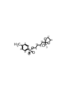 Cc1ccc(S(=O)(=O)OCCCCC2(C(F)(F)F)OCCO2)cc1